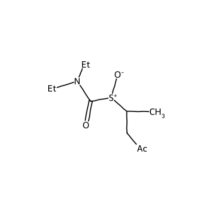 CCN(CC)C(=O)[S+]([O-])C(C)CC(C)=O